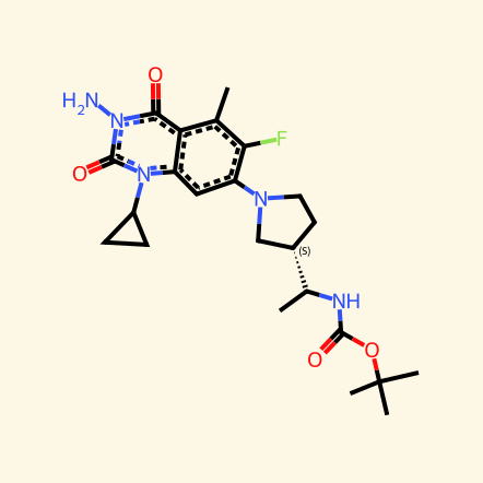 Cc1c(F)c(N2CC[C@H](C(C)NC(=O)OC(C)(C)C)C2)cc2c1c(=O)n(N)c(=O)n2C1CC1